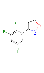 Fc1cc(F)c(F)c(C2CCON2)c1